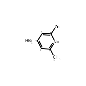 Br.Cc1ccc[c]([Zn])n1